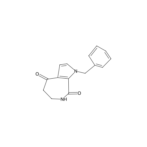 O=C1CCNC(=O)c2c1ccn2Cc1ccccc1